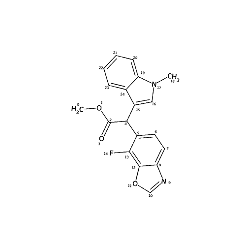 COC(=O)C(c1ccc2ncoc2c1F)c1cn(C)c2ccccc12